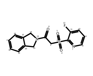 O=C(CS(=O)(=O)c1ncccc1F)N1Cc2ccccc2C1